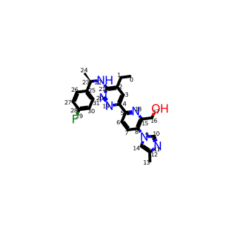 CCc1cc(-c2ccc(-n3cnc(C)c3)c(CO)n2)nnc1N[C@H](C)c1ccc(F)cc1